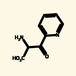 NC(C(=O)O)C(=O)c1ccccn1